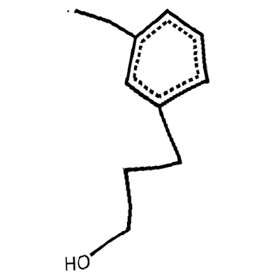 [CH2]c1cccc(CCCO)c1